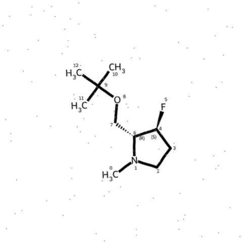 CN1CC[C@H](F)[C@H]1COC(C)(C)C